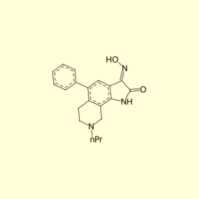 CCCN1CCc2c(-c3ccccc3)cc3c(c2C1)NC(=O)/C3=N/O